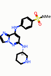 CNS(=O)(=O)c1ccc(Nc2cc(N[C@H]3CCCNC3)nn3ccnc23)cc1